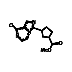 COC(=O)C1CCC(c2ncc3c(Cl)nccn23)C1